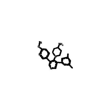 CCOc1ccc(-c2cncc(-c3cc(C)cc(C)c3)c2N2CCC(N)CC2)cn1